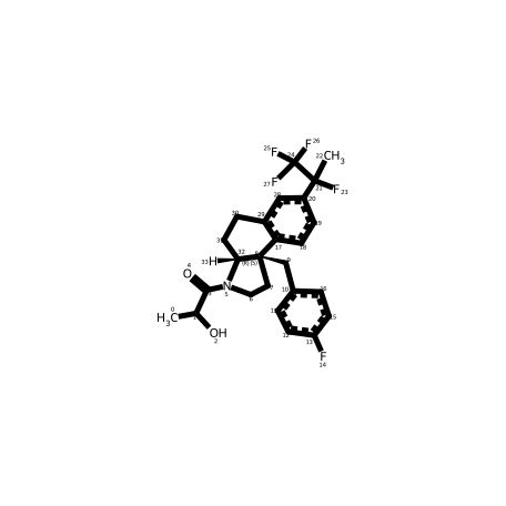 CC(O)C(=O)N1CC[C@@]2(Cc3ccc(F)cc3)c3ccc(C(C)(F)C(F)(F)F)cc3CC[C@@H]12